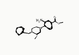 COC(=O)c1ccc(N2CCN(Cc3ccccc3)[C@H](C)C2)c(N)c1